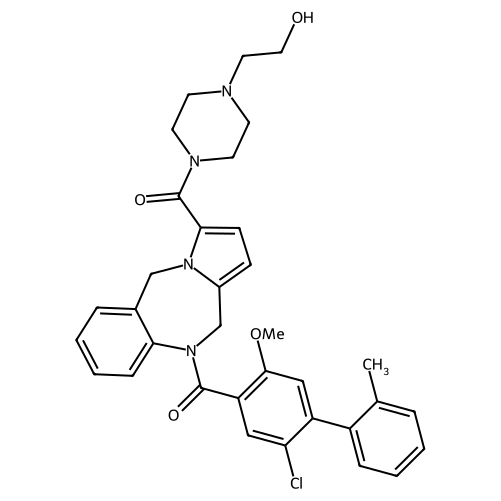 COc1cc(-c2ccccc2C)c(Cl)cc1C(=O)N1Cc2ccc(C(=O)N3CCN(CCO)CC3)n2Cc2ccccc21